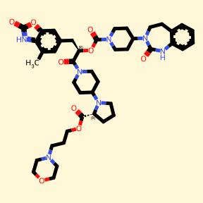 Cc1cc(C[C@@H](OC(=O)N2CCC(N3CCc4ccccc4NC3=O)CC2)C(=O)N2CCC(N3CCC[C@@H]3C(=O)OCCCN3CCOCC3)CC2)cc2oc(=O)[nH]c12